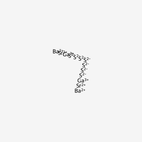 [Ba+2].[Ba+2].[Ga+3].[Ga+3].[S-2].[S-2].[S-2].[S-2].[S-2].[S-2].[S-2].[Sr+2].[Sr+2]